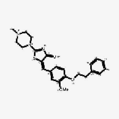 COc1cc(C=C2SC(N3CCN(C)CC3)=NC2=O)ccc1OCCc1ccccc1